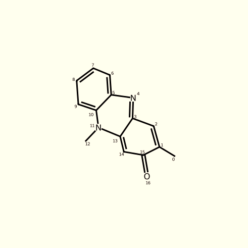 Cc1cc2nc3ccccc3n(C)c-2cc1=O